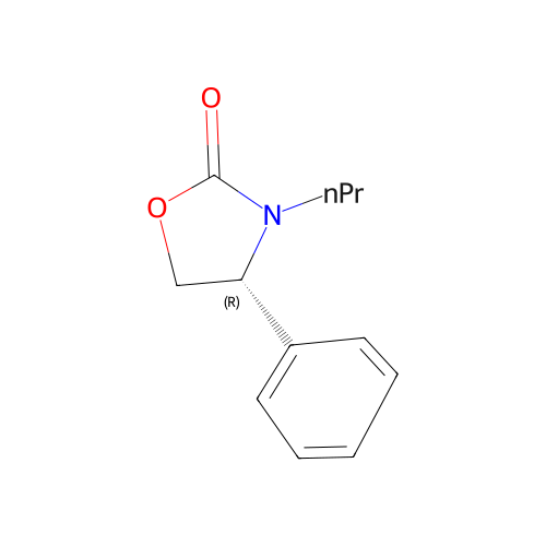 CCCN1C(=O)OC[C@H]1c1ccccc1